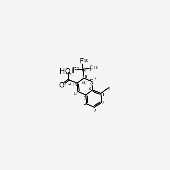 Cc1cccc2c1S[C@H](C(F)(F)F)C(C(=O)O)=C2